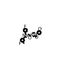 COc1cccc(N2CCN(C(=O)Cn3cc(-c4ccc(F)c(C)c4)nc3-c3ccc(F)cc3)CC2=O)c1